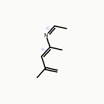 C=C(C)/C=C(C)/N=C\C